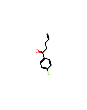 C=CCCC(=O)c1ccc(F)cc1